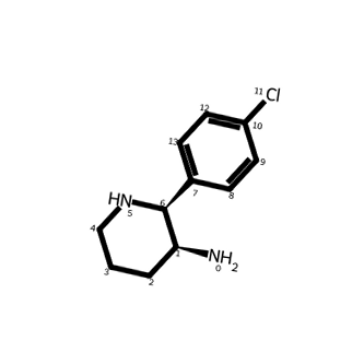 N[C@H]1CCCN[C@H]1c1ccc(Cl)cc1